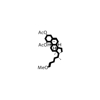 COC=CCC[C@@H](C)[C@H]1CC[C@H]2[C@@H]3CC=C4C[C@@H](OC(C)=O)C[C@H](OC(C)=O)[C@]4(C)[C@H]3CC[C@]12C